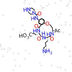 CC(=O)[C@@H]1CCOc2ccc(NC(=O)N3CCNCC3)cc2C(=O)N[C@@H](CCC(=O)O)C(=O)N[C@@H](CCCCN)C(=O)N1